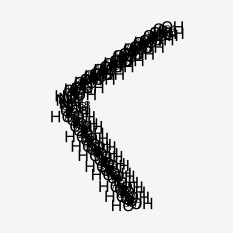 N.N.N.N.N.O=P(O)(O)O.O=P(O)(O)O.O=P(O)(O)O.O=P(O)(O)O.O=P(O)(O)O.O=P(O)(O)O.O=P(O)(O)O.O=P(O)(O)O.O=P(O)(O)O.O=P(O)(O)O.O=P(O)(O)O.O=P(O)(O)O.O=P(O)(O)O.O=P(O)(O)O.O=P(O)(O)O.O=P(O)(O)O.O=P(O)(O)O.O=P(O)(O)O.O=P(O)(O)O.O=P(O)(O)O